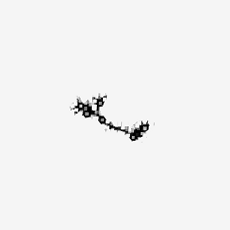 CC[C@H](C(=O)N1CCCC[C@H]1C(=O)O[C@H](CCc1ccc(OC)c(OC)c1)c1ccc(OCC(=O)NCCOCCOc2cccc3c2C(=O)N(C2CCC(=O)NC2=O)C3=O)cc1)c1cc(OC)c(OC)c(OC)c1